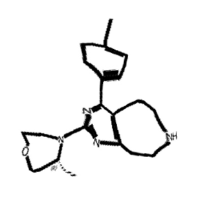 CC1=CC=C(c2nc(N3CCOC[C@H]3C)nc3c2CCNCC3)CC1